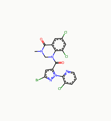 CN1CN(C(=O)c2cc(Br)nn2-c2ncccc2Cl)c2c(Cl)cc(Cl)cc2C1=O